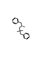 C[C@H](Cc1ccccc1)CC(C)(C)Cc1ccccc1